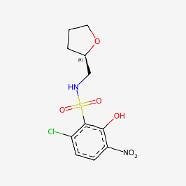 O=[N+]([O-])c1ccc(Cl)c(S(=O)(=O)NC[C@H]2CCCO2)c1O